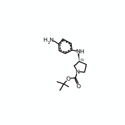 CC(C)(C)OC(=O)N1CC[C@H](Nc2ccc(N)cc2)C1